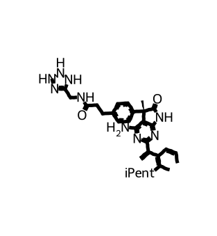 C=C(C(/C=C\C)=C(/C)C(C)CCC)c1nc(N)c2c(n1)NC(=O)[C@@]2(C)c1ccc(CCC(=O)NCC2=NNNN2)cc1